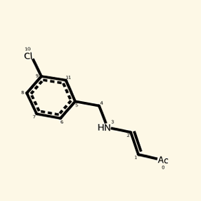 CC(=O)C=CNCc1cccc(Cl)c1